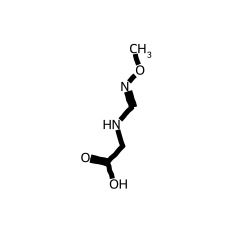 CON=CNCC(=O)O